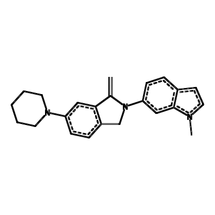 C=C1c2cc(N3CCCCC3)ccc2CN1c1ccc2ccn(C)c2c1